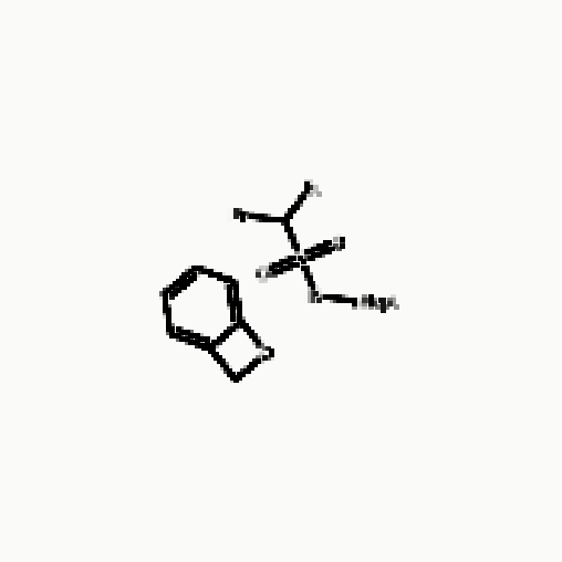 CCCCCCCNS(=O)(=O)C(CC)C(C)C.c1ccc2c(c1)CO2